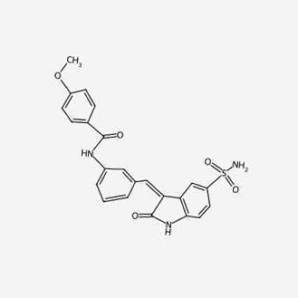 COc1ccc(C(=O)Nc2cccc(C=C3C(=O)Nc4ccc(S(N)(=O)=O)cc43)c2)cc1